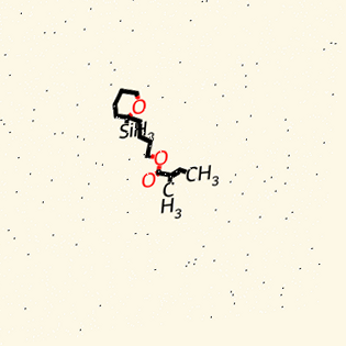 CC=C(C)C(=O)OCCCCC1([SiH3])CCCCO1